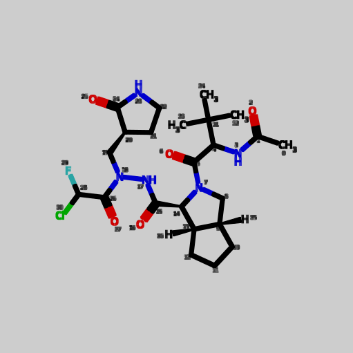 CC(=O)NC(C(=O)N1C[C@@H]2CCC[C@@H]2[C@H]1C(=O)NN(C[C@@H]1CCNC1=O)C(=O)C(F)Cl)C(C)(C)C